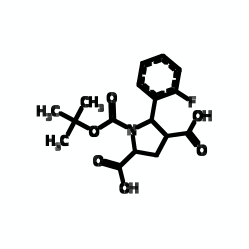 CC(C)(C)OC(=O)N1C(C(=O)O)CC(C(=O)O)C1c1ccccc1F